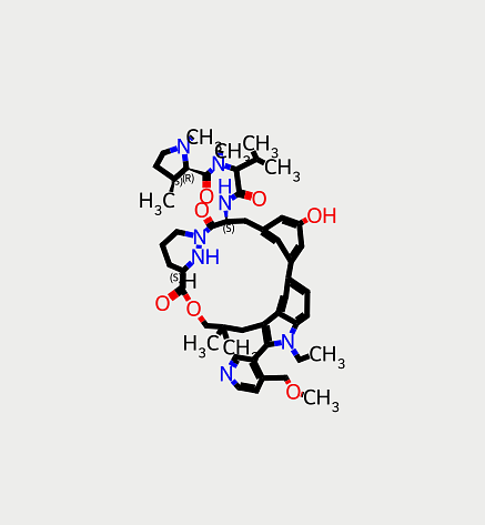 CCn1c(-c2cnccc2COC)c2c3cc(ccc31)-c1cc(O)cc(c1)C[C@H](NC(=O)C(C(C)C)N(C)C(=O)[C@H]1[C@@H](C)CCN1C)C(=O)N1CCC[C@H](N1)C(=O)OCC(C)(C)C2